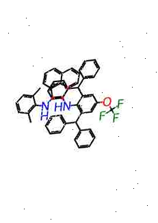 Cc1cccc(C)c1NC1c2cccc3cccc(c23)C1Nc1c(C(c2ccccc2)c2ccccc2)cc(OC(F)(F)F)cc1C(c1ccccc1)c1ccccc1